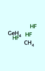 C.F.F.F.[GeH4]